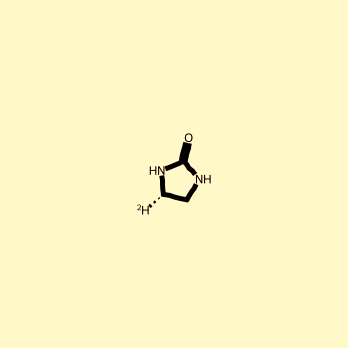 [2H][C@H]1CNC(=O)N1